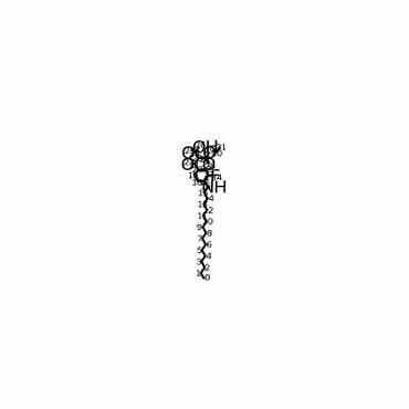 CCCCCCCCCCCCCCCCNc1ccc(C(=O)C(C(=O)O)C(=O)OCC)cc1F